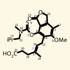 COc1c(C)c2c(c(OC(=S)N(C)CC(C)C)c1C/C=C(\C)CCC(=O)O)C(=O)OC2